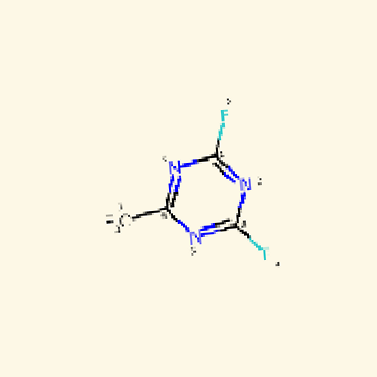 Fc1nc(F)nc(C(F)(F)F)n1